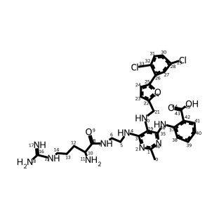 Cc1nc(NCCNC(=O)C(N)CCCNC(=N)N)c(NCc2ccc(-c3cc(Cl)ccc3Cl)o2)c(Nc2ccccc2C(=O)O)n1